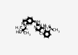 CP(C)c1ccccc1Nc1nc(Nc2ccc3cnn(CC(C)(C)O)c3c2)ncc1Cl